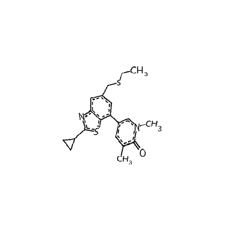 CCSCc1cc(-c2cc(C)c(=O)n(C)c2)c2sc(C3CC3)nc2c1